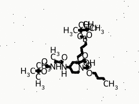 CCCCOC(=O)N1CCC(NC(=O)C(C)NC(=O)OC(C)(C)C)C[C@]1(CCCCB1OC(C)(C)C(C)(C)O1)C(=O)O